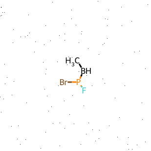 CBP(F)Br